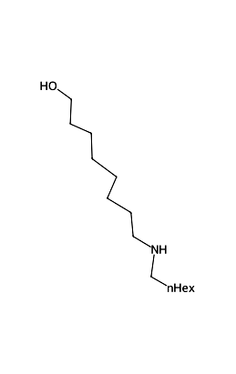 CCCCCCCNCCCCCCCCO